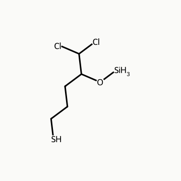 [SiH3]OC(CCCS)C(Cl)Cl